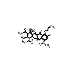 B=C1C(C(N)=O)=C(O)[C@@H](N(C)C)[C@@H]2C[C@@H]3Cc4c(N(C)C)cc(I)c(OCC=C)c4C(=O)C3=C3OC[C@]132